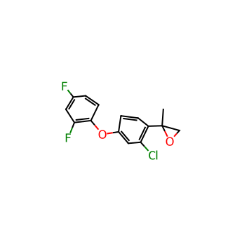 CC1(c2ccc(Oc3ccc(F)cc3F)cc2Cl)CO1